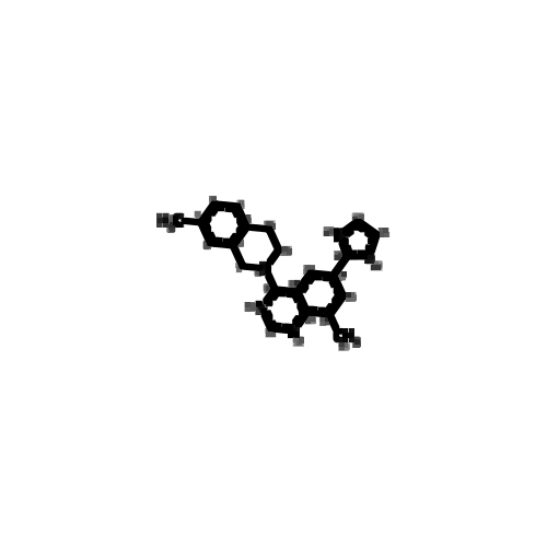 Cc1ccc2c(c1)CN(c1ncnc3c(C)cc(-c4nccs4)cc13)CC2